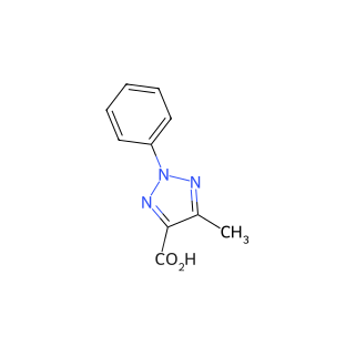 Cc1nn(-c2ccccc2)nc1C(=O)O